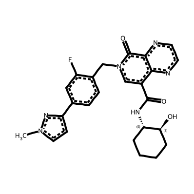 Cn1ccc(-c2ccc(Cn3cc(C(=O)N[C@H]4CCCC[C@@H]4O)c4nccnc4c3=O)c(F)c2)n1